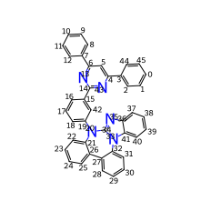 c1ccc(-c2cc(-c3ccccc3)nc(-c3cccc(N4c5ccccc5-c5ccccc5-n5c4nc4ccccc45)c3)n2)cc1